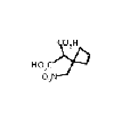 O=C(O)C(C(=O)O)C1(C[N+](=O)[O-])CCC1